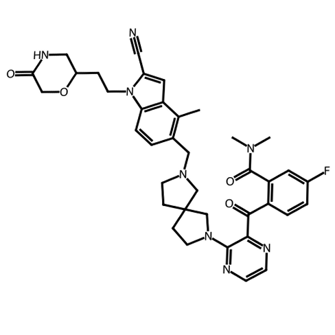 Cc1c(CN2CCC3(CCN(c4nccnc4C(=O)c4ccc(F)cc4C(=O)N(C)C)C3)C2)ccc2c1cc(C#N)n2CCC1CNC(=O)CO1